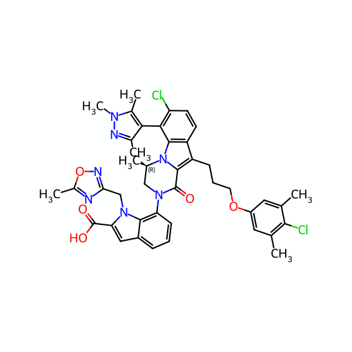 Cc1nc(Cn2c(C(=O)O)cc3cccc(N4C[C@@H](C)n5c(c(CCCOc6cc(C)c(Cl)c(C)c6)c6ccc(Cl)c(-c7c(C)nn(C)c7C)c65)C4=O)c32)no1